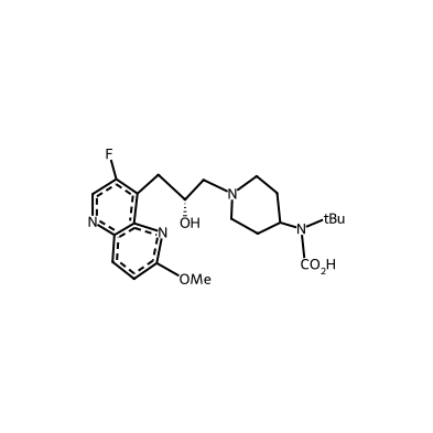 COc1ccc2ncc(F)c(C[C@@H](O)CN3CCC(N(C(=O)O)C(C)(C)C)CC3)c2n1